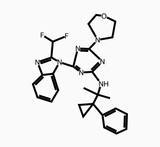 CC(C)(Nc1nc(N2CCOCC2)nc(-n2c(C(F)F)nc3ccccc32)n1)C1(c2ccccc2)CC1